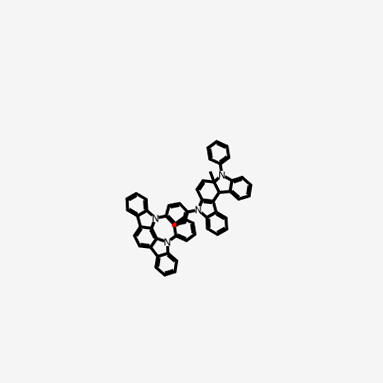 CC12C=Cc3c(c4ccccc4n3-c3ccc(-n4c5ccccc5c5ccc6c7ccccc7n(-c7ccccc7)c6c54)cc3)C1c1ccccc1N2c1ccccc1